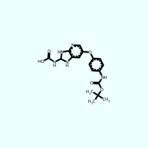 CC(C)(C)OC(=O)Nc1ccc(Oc2cnc3c(c2)NC(NC(=O)O)N3)cc1